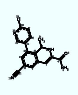 CC1NC(C(N)=O)=Cc2cc(C#N)cc(-c3ccc(Cl)nc3)c21